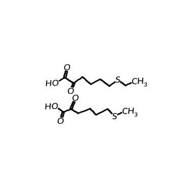 CCSCCCCC(=O)C(=O)O.CSCCCCC(=O)C(=O)O